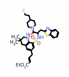 CCOC(=O)/C=C/Cc1cc2c(c(S(=O)(=O)NC(Cc3nc4ccccc4s3)C(=O)N3CCC(CCF)CC3)c1)NCC(C)(C)C2